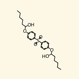 CCCCCC(O)Oc1ccc(S(=O)(=O)c2ccc(OC(O)CCCCC)cc2)cc1